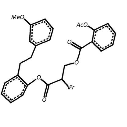 COc1cccc(CCc2ccccc2OC(=O)C(COC(=O)c2ccccc2OC(C)=O)C(C)C)c1